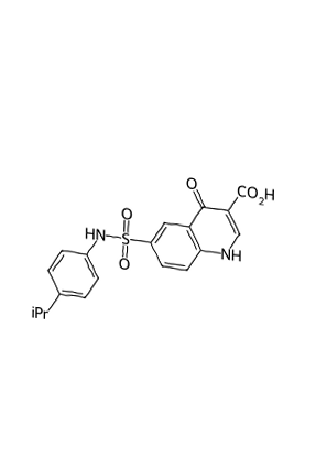 CC(C)c1ccc(NS(=O)(=O)c2ccc3[nH]cc(C(=O)O)c(=O)c3c2)cc1